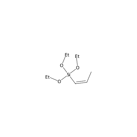 C/C=C\[Si](OCC)(OCC)OCC